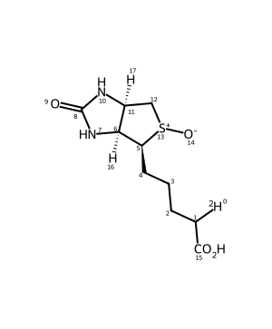 [2H]C(CCC[C@H]1[C@H]2NC(=O)N[C@H]2C[S+]1[O-])C(=O)O